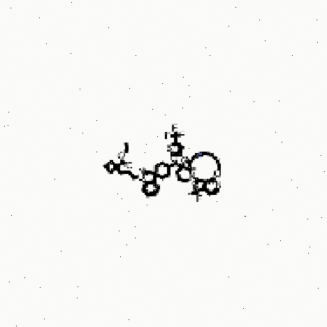 CCOC(=O)C1(CCCOc2ccccc2C2(C#N)CCC(C(=O)[C@]3(Oc4csc(C(F)(F)F)c4)CCCN4C(=O)c5c(C(F)(F)F)ccnc5OCCC/C=C\C[C@@H]43)CC2)CCC1